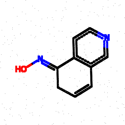 ON=C1CC=Cc2cnccc21